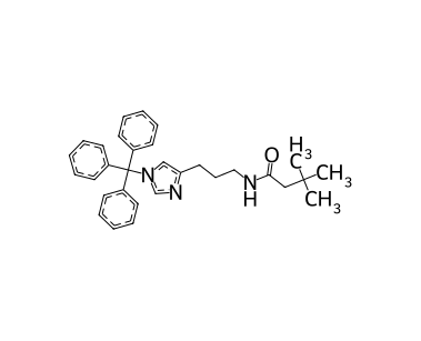 CC(C)(C)CC(=O)NCCCc1cn(C(c2ccccc2)(c2ccccc2)c2ccccc2)cn1